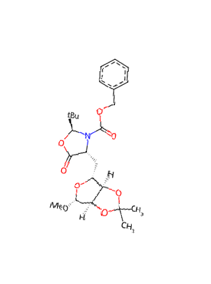 CO[C@@H]1O[C@H](C[C@@H]2C(=O)O[C@@H](C(C)(C)C)N2C(=O)OCc2ccccc2)[C@H]2OC(C)(C)O[C@@H]12